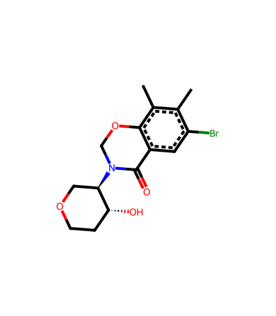 Cc1c(Br)cc2c(c1C)OCN([C@@H]1COCC[C@H]1O)C2=O